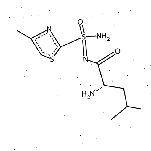 Cc1csc(S(N)(=O)=NC(=O)[C@@H](N)CC(C)C)n1